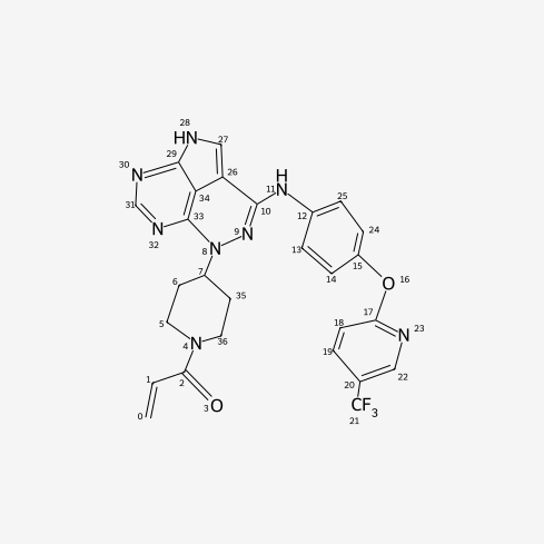 C=CC(=O)N1CCC(N2N=C(Nc3ccc(Oc4ccc(C(F)(F)F)cn4)cc3)c3c[nH]c4ncnc2c34)CC1